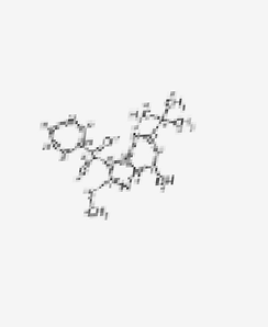 CSc1nn2c(O)cc(C(C)(C)C)nc2c1S(=O)(=O)c1ccccc1